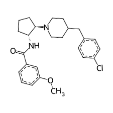 COc1cccc(C(=O)N[C@@H]2CCC[C@H]2N2CCC(Cc3ccc(Cl)cc3)CC2)c1